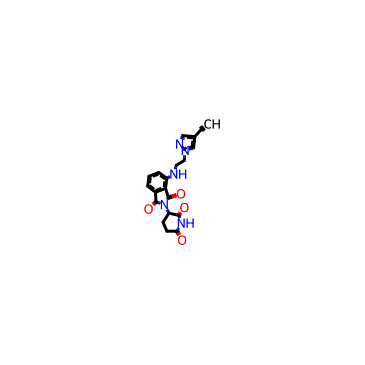 C#Cc1cnn(CCNc2cccc3c2C(=O)N(C2CCC(=O)NC2=O)C3=O)c1